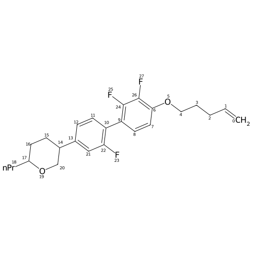 C=CCCCOc1ccc(-c2ccc(C3CCC(CCC)OC3)cc2F)c(F)c1F